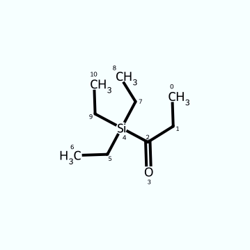 CCC(=O)[Si](CC)(CC)CC